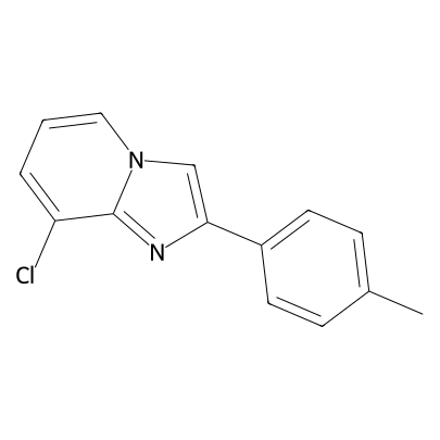 Cc1ccc(-c2cn3cccc(Cl)c3n2)cc1